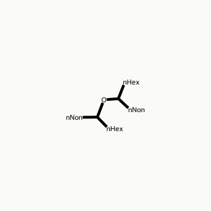 CCCCCCCCCC(CCCCCC)OC(CCCCCC)CCCCCCCCC